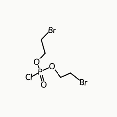 O=P(Cl)(OCCBr)OCCBr